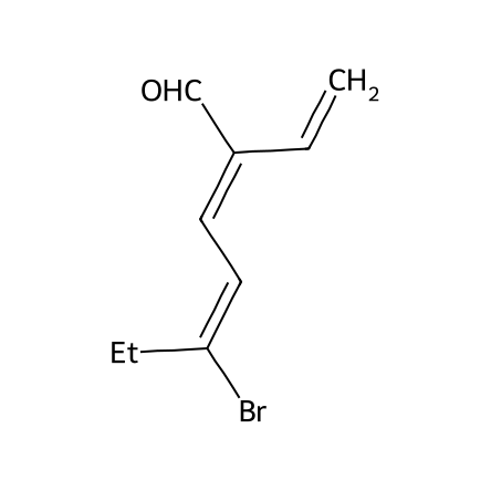 C=C/C(C=O)=C\C=C(\Br)CC